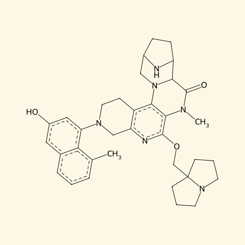 Cc1cccc2cc(O)cc(N3CCc4c(nc(OCC56CCCN5CCC6)c5c4N4CC6CCC(N6)C4C(=O)N5C)C3)c12